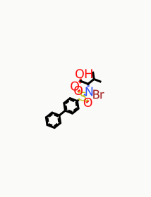 CC(C)C(C(=O)O)N(Br)S(=O)(=O)c1ccc(-c2ccccc2)cc1